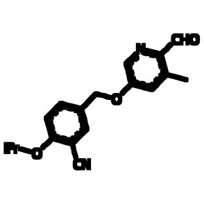 Cc1cc(OCc2ccc(OC(C)C)c(C#N)c2)cnc1C=O